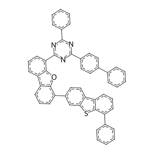 c1ccc(-c2ccc(-c3nc(-c4ccccc4)nc(-c4cccc5c4oc4c(-c6ccc7c(c6)sc6c(-c8ccccc8)cccc67)cccc45)n3)cc2)cc1